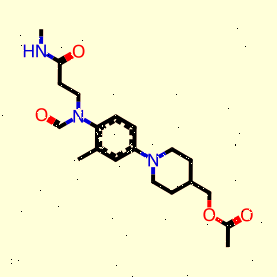 CNC(=O)CCN(C=O)c1ccc(N2CCC(COC(C)=O)CC2)cc1C